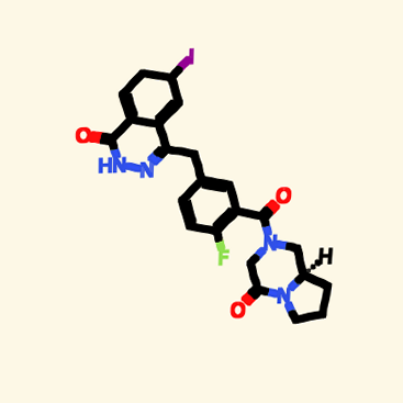 O=C(c1cc(Cc2n[nH]c(=O)c3c2=CC(I)CC=3)ccc1F)N1CC(=O)N2CCC[C@@H]2C1